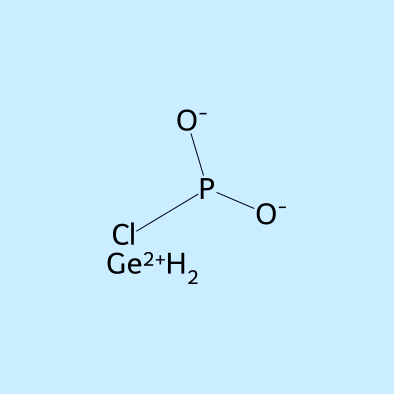 [GeH2+2].[O-]P([O-])Cl